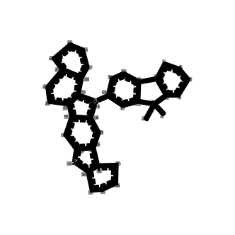 CC1(C)c2ccccc2-c2ccc(-n3c4cc5c(cc4c4ccc6ccccc6c43)sc3ccccc35)cc21